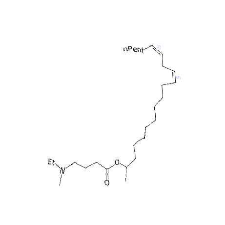 CCCCC/C=C\C/C=C\CCCCCCCCC(C)OC(=O)CCCN(C)CC